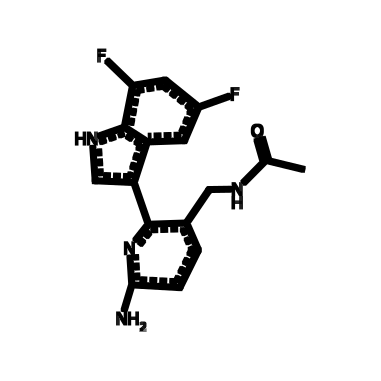 CC(=O)NCc1ccc(N)nc1-c1c[nH]c2c(F)cc(F)cc12